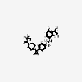 O=C(N1CCN(C2(c3ccc(S(=O)(=O)Nc4ccc(Cl)c5c(Cl)c[nH]c45)cc3)CC2)CC1)C(F)(F)F